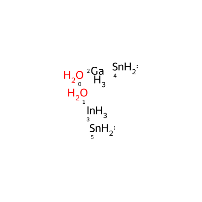 O.O.[GaH3].[InH3].[SnH2].[SnH2]